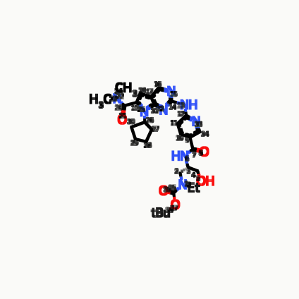 CCN(C[C@@H](CO)NC(=O)c1ccc(Nc2ncc3cc(C(=O)N(C)C)n(C4CCCC4)c3n2)nc1)C(=O)OC(C)(C)C